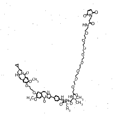 COc1cc2c(cc1OCCCOc1cc3c(cc1OC)C(=O)N1C=C(C4CC4)C[C@H]1C=C3)C=C[C@@H]1CC(c3ccc(NC(=O)[C@H](C)NC(=O)C(NC(=O)CCOCCOCCOCCOCCOCCOCCOCCOCCNC(=O)CCN4C(=O)C=CC4=O)C(C)C)cc3)=CN1C2=O